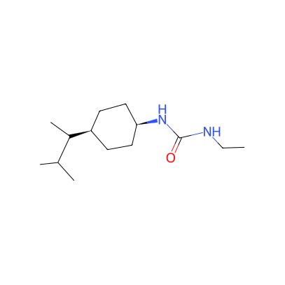 CCNC(=O)N[C@H]1CC[C@@H](C(C)C(C)C)CC1